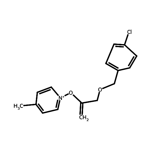 C=C(COCc1ccc(Cl)cc1)O[n+]1ccc(C)cc1